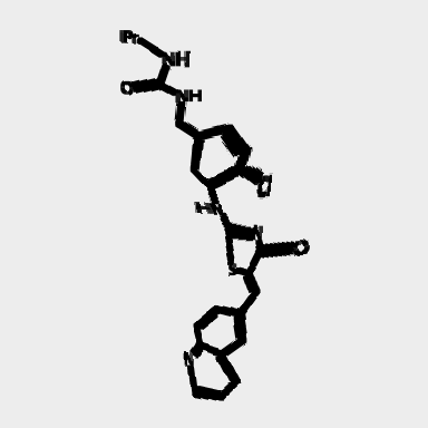 CC(C)NC(=O)NCc1ccc(Cl)c(NC2=NC(=O)/C(=C/c3ccc4ncccc4c3)S2)c1